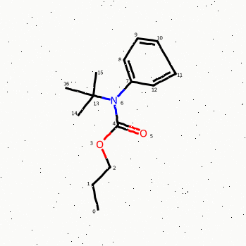 CCCOC(=O)N(c1ccccc1)C(C)(C)C